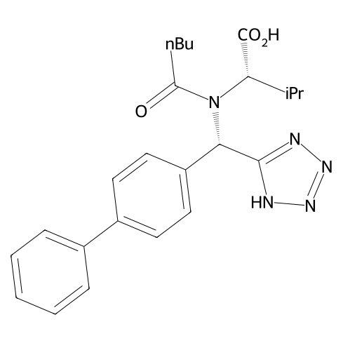 CCCCC(=O)N([C@@H](c1ccc(-c2ccccc2)cc1)c1nnn[nH]1)[C@H](C(=O)O)C(C)C